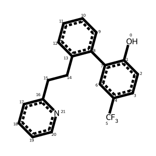 Oc1ccc(C(F)(F)F)cc1-c1ccccc1CCc1ccccn1